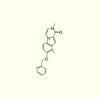 Cc1c(OCc2ccccc2)ccc2c1cc1c(=O)n(C)ccn12